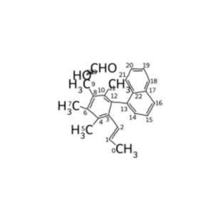 CC=Cc1c(C)c(C)c(C)c(C)c1-c1cccc2ccccc12.O=CO